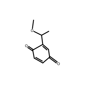 COC(C)C1=CC(=O)C=CC1=O